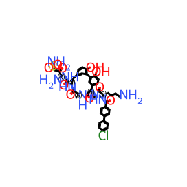 C[C@@H]1NC(=O)[C@@H](N(C)C(=O)[C@H](CCCCN)NC(=O)c2ccc(-c3ccc(Cl)cc3)cc2)c2ccc(O)c(c2)-c2cc(ccc2O)C[C@@H](C(=O)N[C@@H](N)C(=O)CS(N)(=O)=O)NC1=O